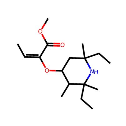 CC=C(OC1CC(C)(CC)NC(C)(CC)C1C)C(=O)OC